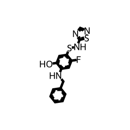 Oc1cc(SNc2ncns2)c(F)cc1NCc1ccccc1